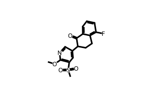 COc1ncc(C2CCc3c(F)cccc3C2=O)cc1S(C)(=O)=O